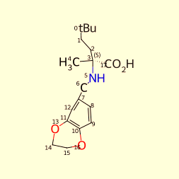 CC(C)(C)CC[C@](C)(NCc1ccc2c(c1)OCCO2)C(=O)O